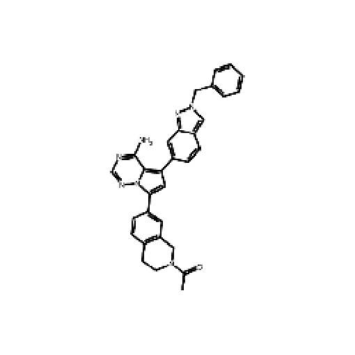 CC(=O)N1CCc2ccc(-c3cc(-c4ccc5cn(Cc6ccccc6)nc5c4)c4c(N)ncnn34)cc2C1